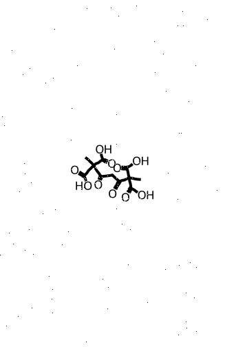 CC(C(=O)O)(C(=O)O)C(=O)CC(=O)C(C)(C(=O)O)C(=O)O